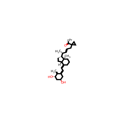 C=C1/C(=C\C=C2/CCC[C@]3(C)[C@@H]([C@H](C)/C=C/CC4(C(=O)CCC)CC4)CC[C@@H]23)C[C@@H](O)C[C@@H]1O